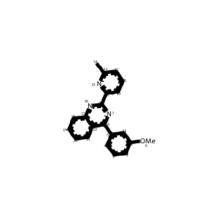 COc1cccc(-c2nc(-c3cccc(C)n3)nc3ccccc23)c1